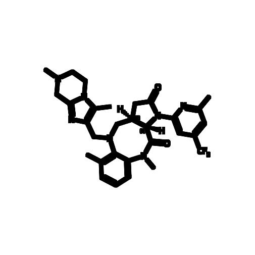 Cc1cc(C(F)(F)F)cc(N2C(=O)C[C@@H]3CN(Cc4nc5n(c4C)CCN(C)C5)c4c(C)cccc4N(C)C(=O)[C@H]32)n1